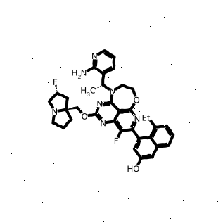 CCc1cccc2cc(O)cc(-c3nc4c5c(nc(OC[C@@]67CCCN6C[C@H](F)C7)nc5c3F)N([C@H](C)c3cccnc3N)CCO4)c12